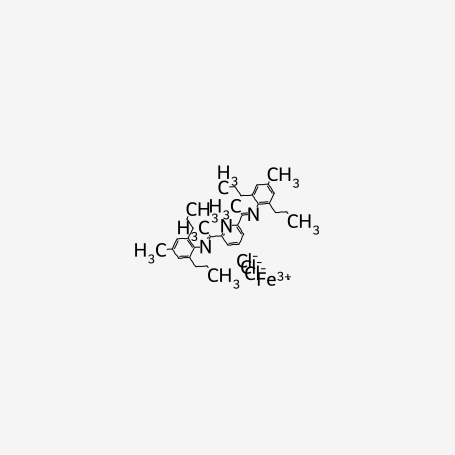 CCCc1cc(C)cc(CCC)c1N=C(C)c1cccc(C(C)=Nc2c(CCC)cc(C)cc2CCC)n1.[Cl-].[Cl-].[Cl-].[Fe+3]